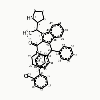 CC(C1CCCN1)n1c(C(=O)N2CCN(c3ccccc3Cl)CC2)c(C(c2ccccc2)c2ccccc2)c2ccccc21